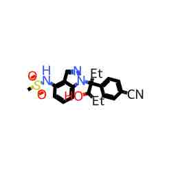 CCC(O)C(CC)(c1ccc(C#N)cc1)n1ncc2c(NS(C)(=O)=O)cccc21